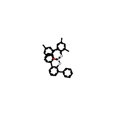 Cc1cc(C)c2op(Oc3c(-c4ccccc4)cccc3-c3ccccc3)oc3c(C)cc(C)cc3c2c1